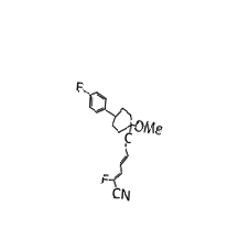 COC1(CCC=CC=C(F)C#N)CCC(c2ccc(F)cc2)CC1